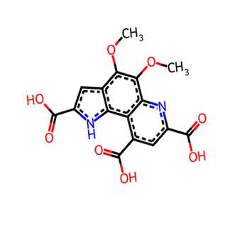 COc1c(OC)c2nc(C(=O)O)cc(C(=O)O)c2c2[nH]c(C(=O)O)cc12